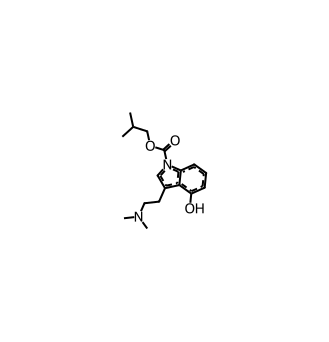 CC(C)COC(=O)n1cc(CCN(C)C)c2c(O)cccc21